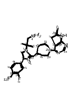 CC(C)(CN)n1cc(-c2ccc(F)c(F)c2)nc1C1CCN(c2ncnc3c2CC(=O)N3)CC1